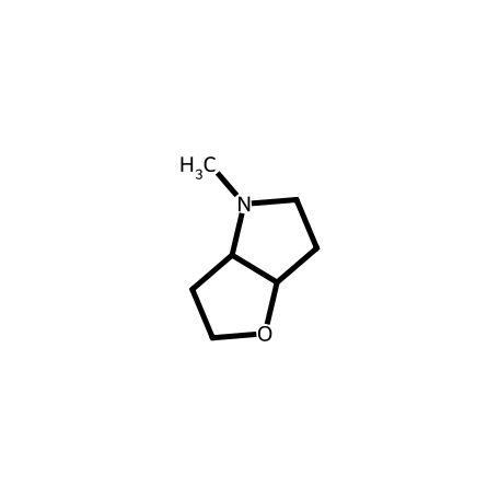 CN1CCC2OCCC21